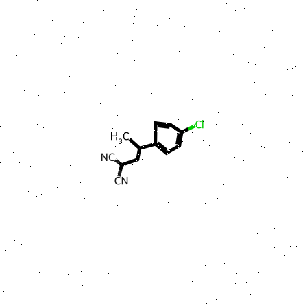 CC(CC(C#N)C#N)c1ccc(Cl)cc1